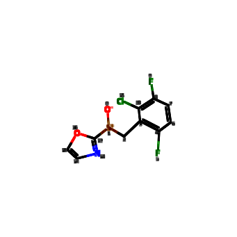 [O-][S+](Cc1c(F)ccc(F)c1Cl)c1ncco1